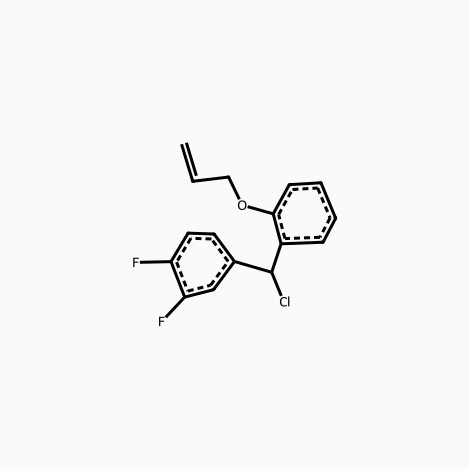 C=CCOc1ccccc1C(Cl)c1ccc(F)c(F)c1